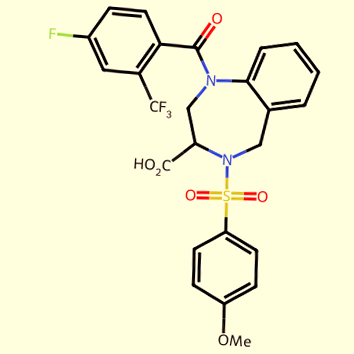 COc1ccc(S(=O)(=O)N2Cc3ccccc3N(C(=O)c3ccc(F)cc3C(F)(F)F)CC2C(=O)O)cc1